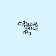 Cc1ccc(Cl)c(CNc2nc(-c3cncc(Cl)c3)nc3c2ncn3[C@@H]2O[C@H](C(=O)NC(C)C)[C@@H](O)[C@H]2O)c1